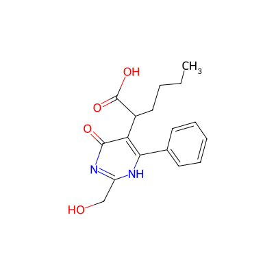 CCCCC(C(=O)O)c1c(-c2ccccc2)[nH]c(CO)nc1=O